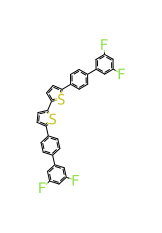 Fc1cc(F)cc(-c2ccc(-c3ccc(-c4ccc(-c5ccc(-c6cc(F)cc(F)c6)cc5)s4)s3)cc2)c1